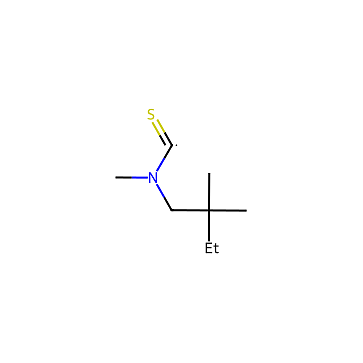 CCC(C)(C)CN(C)[C]=S